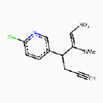 C#CCC(C(=C[N+](=O)[O-])NC)c1ccc(Cl)nc1